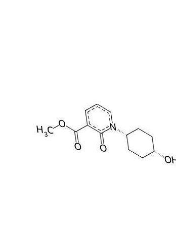 COC(=O)c1cccn([C@H]2CC[C@@H](O)CC2)c1=O